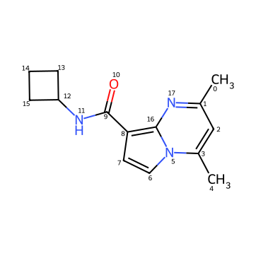 Cc1cc(C)n2ccc(C(=O)NC3CCC3)c2n1